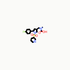 CN(Cc1cc(-c2ccc(F)cc2)n(S(=O)(=O)c2cccnc2)c1)C(=O)O